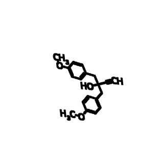 C#CC(O)(Cc1ccc(OC)cc1)Cc1ccc(OC)cc1